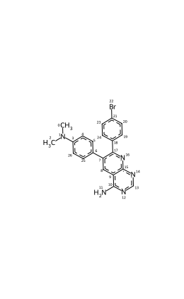 CN(C)c1ccc(-c2cc3c(N)ncnc3nc2-c2ccc(Br)cc2)cc1